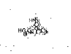 CC(C)c1c(-c2ccc(C(=O)O)cn2)c2cc3[nH]ncc3cc2n1-c1ccc(F)cc1